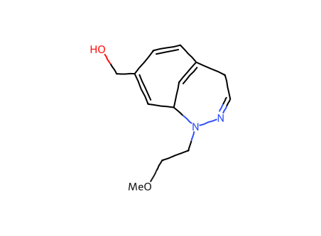 COCCN1N=CCC2=CC1C=C(CO)C=C2